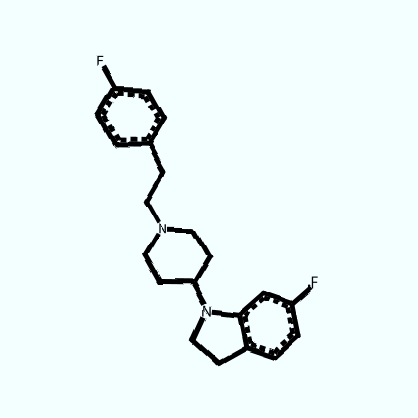 Fc1ccc(CCN2CCC(N3CCc4ccc(F)cc43)CC2)cc1